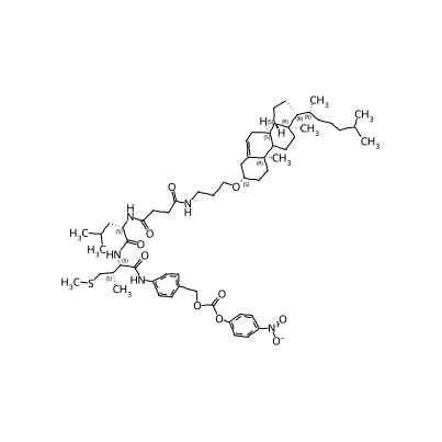 CSC[C@@H](C)[C@H](NC(=O)[C@H](CC(C)C)NC(=O)CCC(=O)NCCCO[C@H]1CC[C@@]2(C)C(=CC[C@@H]3C2CC[C@]2(C)[C@@H]([C@H](C)CCCC(C)C)CC[C@@H]32)C1)C(=O)Nc1ccc(COC(=O)Oc2ccc([N+](=O)[O-])cc2)cc1